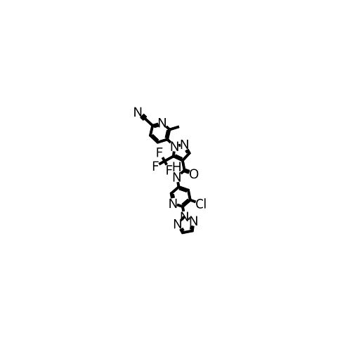 Cc1nc(C#N)ccc1-n1ncc(C(=O)Nc2cnc(-n3nccn3)c(Cl)c2)c1C(F)(F)F